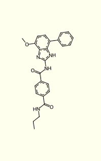 CCCNC(=O)c1ccc(C(=O)Nc2nc3c(OC)ccc(-c4ccccc4)c3[nH]2)cc1